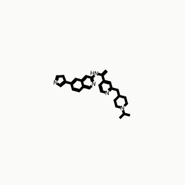 C=C(Nc1cc2cc(C3=CN=CC3)ccc2cn1)c1ccnc(CC2CCN(C(C)C)CC2)c1